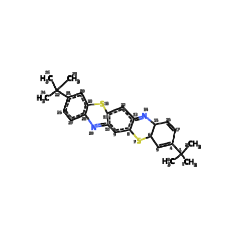 CC(C)(C)C1=CC2Sc3cc4c(cc3=NC2C=C1)Sc1cc(C(C)(C)C)ccc1N=4